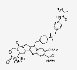 CC[C@@]1(O)C(=O)OCc2c1cc1n(c2=O)Cc2c-1nc1cc(C(=O)NC)c(OC)cc1c2CN1CCC([N+](C)(C)Cc2ccc(NC(=O)C(C)N)cc2)CC1